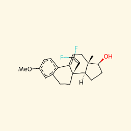 COc1ccc2c(c1)CC[C@]1(C=C(F)F)C2=CC[C@@]2(C)[C@H]1CC[C@@H]2O